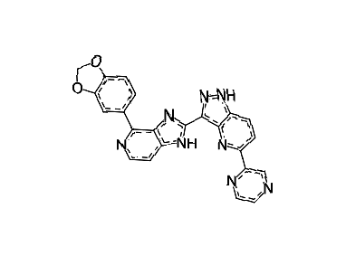 c1cnc(-c2ccc3[nH]nc(-c4nc5c(-c6ccc7c(c6)OCO7)nccc5[nH]4)c3n2)cn1